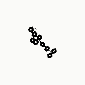 c1cc2c3c(c1)ccc1c3c3c(cccc3n1-c1ccc(-c3ccc(-n4c5ccccc5c5ccccc54)cc3)cc1)-c1cc3oc4ccccc4c3cc1-2